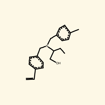 C=Cc1ccc(CN(Cc2ccc(C)cc2)C(CC)CO)cc1